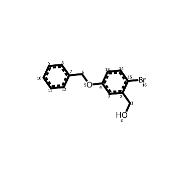 OCc1cc(OCc2ccccc2)ccc1Br